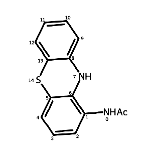 CC(=O)Nc1cccc2c1Nc1ccccc1S2